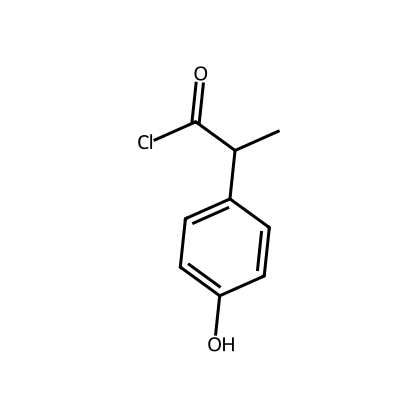 CC(C(=O)Cl)c1ccc(O)cc1